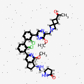 COc1nc(-c2cccc(-c3cccc(-c4cc5c(c(OC)n4)[C@@H](NC[C@@H]4CCC(=O)N4)CC5)c3Cl)c2Cl)cnc1CN1CC2(CC(C(C)=O)C2)C1